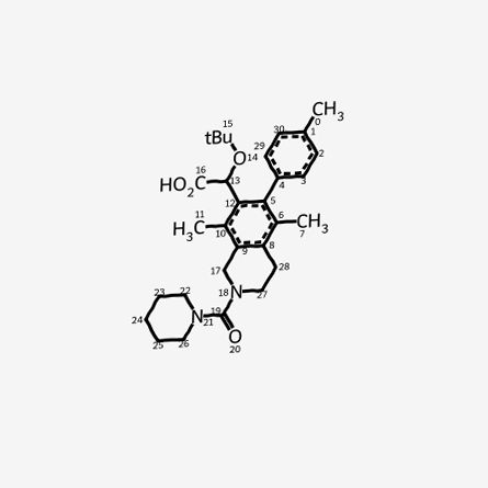 Cc1ccc(-c2c(C)c3c(c(C)c2C(OC(C)(C)C)C(=O)O)CN(C(=O)N2CCCCC2)CC3)cc1